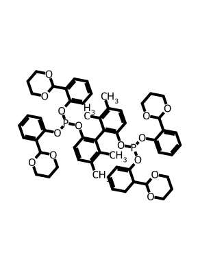 Cc1ccc(OP(OC2=CC=CCC2C2OCCCO2)Oc2ccccc2C2OCCCO2)c(-c2c(OP(Oc3ccccc3C3OCCCO3)Oc3ccccc3C3OCCCO3)ccc(C)c2C)c1C